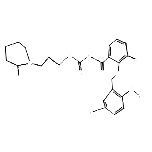 COc1ccc(Br)cc1COc1c(F)cccc1C(=O)NC(=N)NCCCN1CCCCC1C